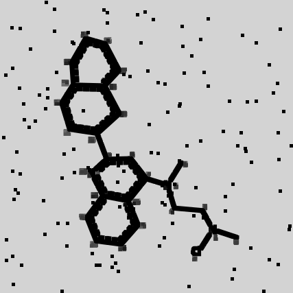 CN(Cl)CCN(C)c1cc(-c2ccc3ccccc3c2)nc2ccccc12